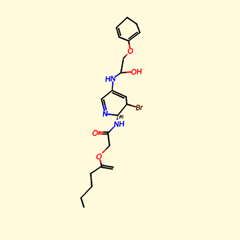 C=C(CCCC)OCC(=O)N[C@@H]1N=CC(NC(O)COC2=CCCC=C2)=CC1Br